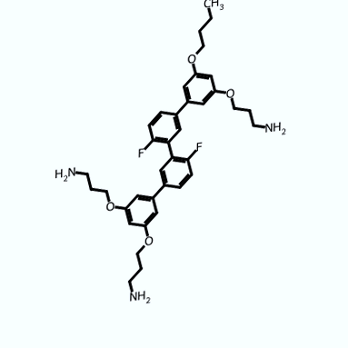 CCCCOc1cc(OCCCN)cc(-c2ccc(F)c(-c3cc(-c4cc(OCCCN)cc(OCCCN)c4)ccc3F)c2)c1